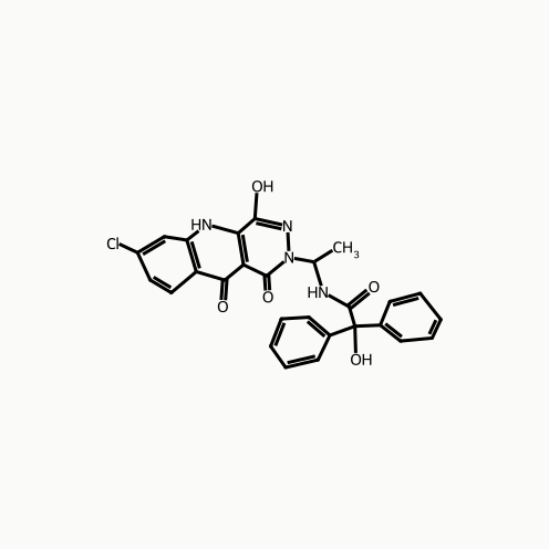 CC(NC(=O)C(O)(c1ccccc1)c1ccccc1)n1nc(O)c2[nH]c3cc(Cl)ccc3c(=O)c2c1=O